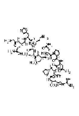 CC(C)C[C@H](NC(=O)[C@H](CC(N)=O)NC(=O)[C@@H]1CCCN1C(=O)[C@H](CC(N)=O)NC(=O)[C@H](CC(=O)O)NC(=O)[C@H](CC(=O)O)NC(=O)[C@H](CCCCN)NC(=O)[C@H](Cc1c[nH]cn1)NC(=O)[C@H](CCC(N)=O)NC(=O)CN)C(=O)N1CCC[C@H]1C(=O)N[C@@H](CCCNC(=N)N)C(=O)O